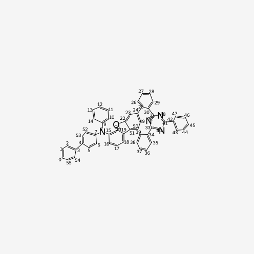 c1ccc(-c2ccc(N(c3ccccc3)c3cccc4c3oc3cc(-c5ccccc5-c5nc(-c6ccccc6)nc(-c6ccccc6)n5)ccc34)cc2)cc1